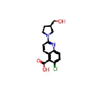 O=C(O)c1c(Cl)ccc2nc(N3CCC(CO)C3)ccc12